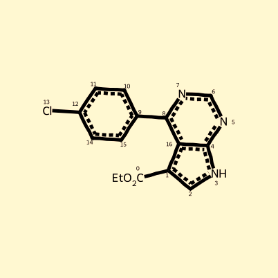 CCOC(=O)c1c[nH]c2ncnc(-c3ccc(Cl)cc3)c12